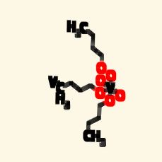 CCCCO[O][V](=[O])(=[O])([O]CCCC)[O]CCCC.[V]